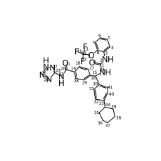 O=C(Nc1ccccc1OC(F)(F)F)NC(c1ccc(C(=O)Nc2nn[nH]n2)cc1)c1ccc(C2CCCCC2)cc1